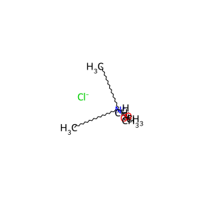 CCCCCCCCCCCCCCCCCCCC[N+](C)(CCCCCCCCCCCCCCCCCCCC)CCC[SiH](OC)OC.[Cl-]